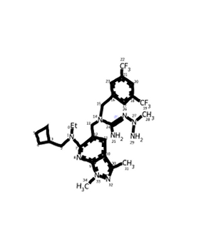 CCN(CC1CCC1)c1nc2c(cc1CN(Cc1cc(C(F)(F)F)cc(C(F)(F)F)c1)/C(N)=N/N(C)N)c(C)nn2C